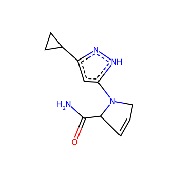 NC(=O)C1C=CCN1c1cc(C2CC2)n[nH]1